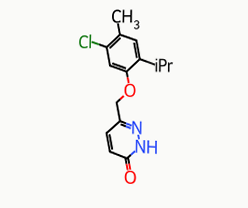 Cc1cc(C(C)C)c(OCc2ccc(=O)[nH]n2)cc1Cl